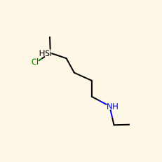 CCNCCCC[SiH](C)Cl